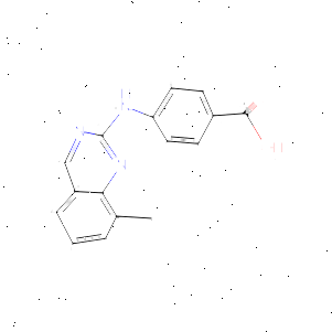 Cc1cccc2cnc(Nc3ccc(C(=O)O)cc3)nc12